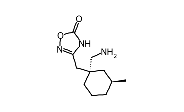 C[C@H]1CCC[C@@](CN)(Cc2noc(=O)[nH]2)C1